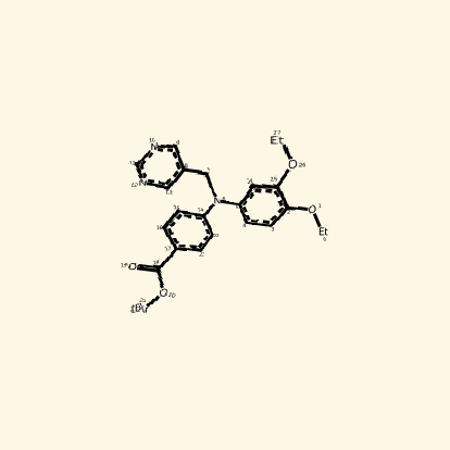 CCOc1ccc(N(Cc2cncnc2)c2ccc(C(=O)OC(C)(C)C)cc2)cc1OCC